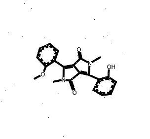 COc1ccccc1C1=C2C(=O)N(C)C(c3ccccc3O)=C2C(=O)N1C